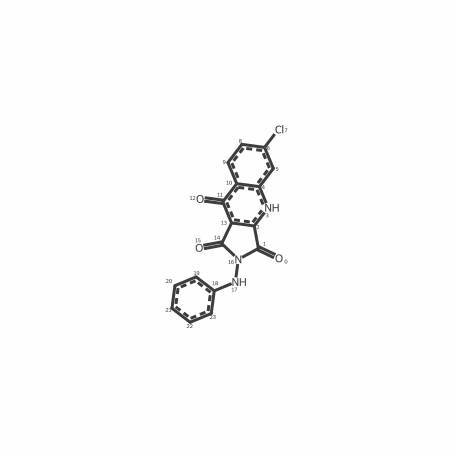 O=C1c2[nH]c3cc(Cl)ccc3c(=O)c2C(=O)N1Nc1ccccc1